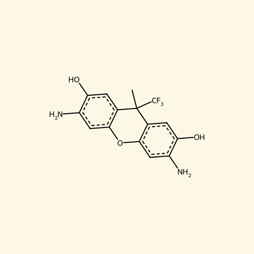 CC1(C(F)(F)F)c2cc(O)c(N)cc2Oc2cc(N)c(O)cc21